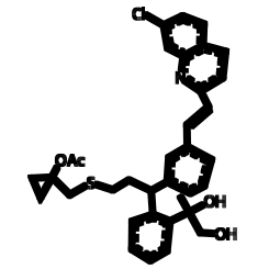 CC(=O)OC1(CSCCC(c2cccc(C=Cc3ccc4ccc(Cl)cc4n3)c2)c2ccccc2C(C)(O)CO)CC1